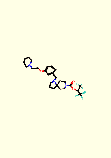 O=C(OC(C(F)(F)F)C(F)(F)F)N1CCC2(CCCN2Cc2cccc(OCCN3CCCCC3)c2)CC1